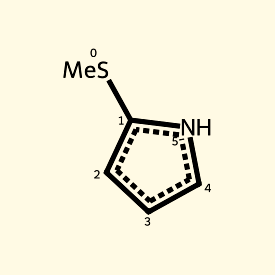 [CH2]Sc1ccc[nH]1